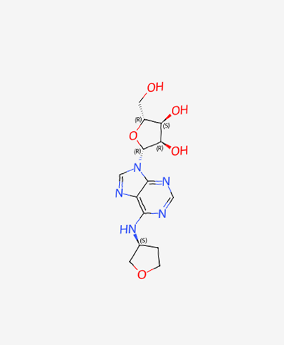 OC[C@H]1O[C@@H](n2cnc3c(N[C@H]4CCOC4)ncnc32)[C@H](O)[C@@H]1O